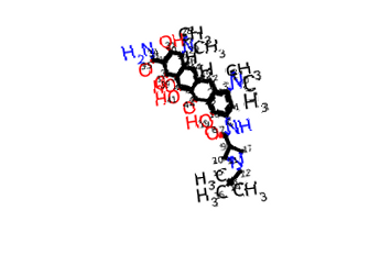 CN(C)c1cc(NC(=O)C2CN(CC(C)(C)C)C2)c(O)c2c1C[C@H]1C[C@H]3[C@H](N(C)C)C(O)=C(C(N)=O)C(=O)[C@@]3(O)C(O)=C1C2=O